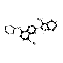 Cc1c(-c2ccc3c(OC4CCCCC4)ccc(C)c3n2)oc2ccccc12